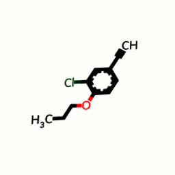 C#Cc1ccc(OCCC)c(Cl)c1